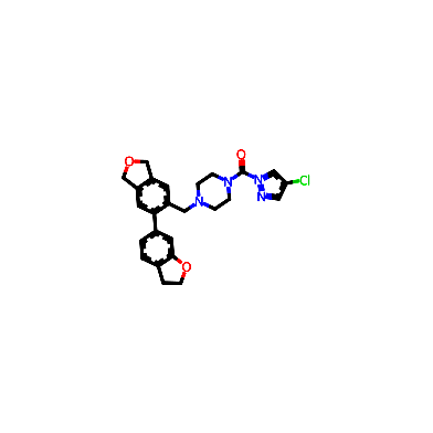 O=C(N1CCN(Cc2cc3c(cc2-c2ccc4c(c2)OCC4)COC3)CC1)n1cc(Cl)cn1